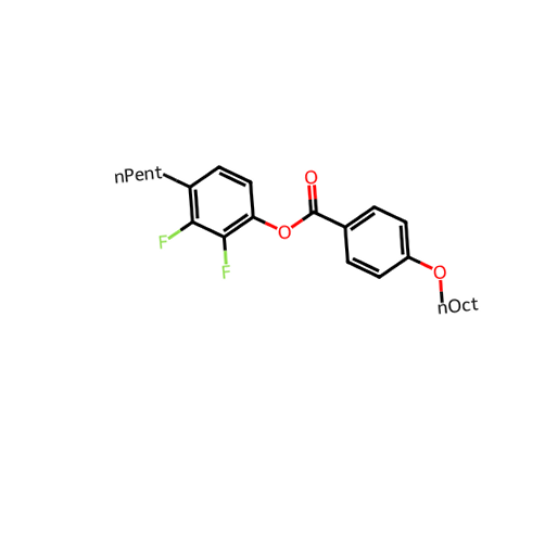 CCCCCCCCOc1ccc(C(=O)Oc2ccc(CCCCC)c(F)c2F)cc1